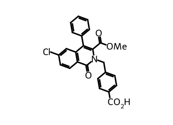 COC(=O)c1c(-c2ccccc2)c2cc(Cl)ccc2c(=O)n1Cc1ccc(C(=O)O)cc1